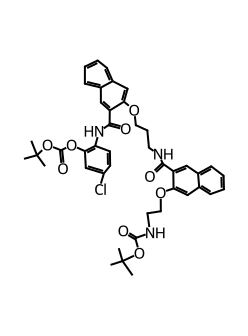 CC(C)(C)OC(=O)NCCOc1cc2ccccc2cc1C(=O)NCCCOc1cc2ccccc2cc1C(=O)Nc1ccc(Cl)cc1OC(=O)OC(C)(C)C